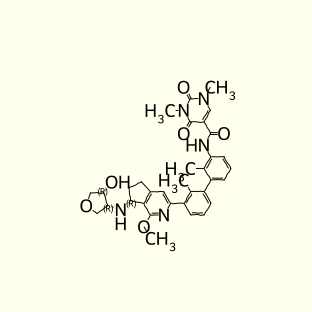 COc1nc(-c2cccc(-c3cccc(NC(=O)c4cn(C)c(=O)n(C)c4=O)c3C)c2C)cc2c1[C@H](N[C@@H]1COC[C@@H]1O)CC2